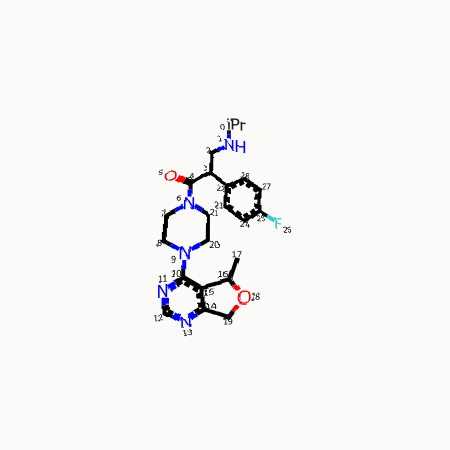 CC(C)NCC(C(=O)N1CCN(c2ncnc3c2C(C)OC3)CC1)c1ccc(F)cc1